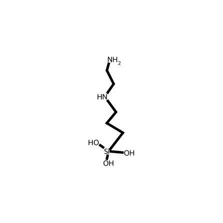 NCCNCCC[Si](O)(O)O